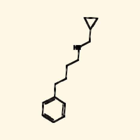 c1ccc(CCCCNCC2CC2)cc1